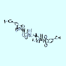 C#Cc1ccc2c(c1)C(=O)N(CNC(=O)CC(=O)NCNC(=O)CC(=O)NCN1C(=O)c3ccc(C#C)cc3C1=O)C2=O